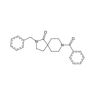 O=C(c1ccccc1)N1CCC2(CC1)CCN(Cc1ccccc1)C2=O